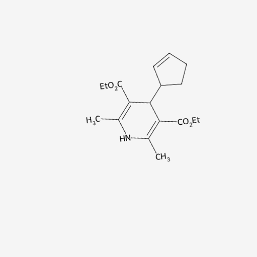 CCOC(=O)C1=C(C)NC(C)=C(C(=O)OCC)C1C1C=CCC1